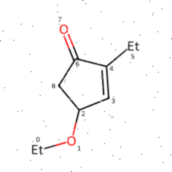 CCOC1C=C(CC)C(=O)C1